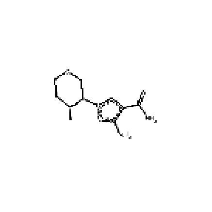 C[C@H]1CCOCC1n1cc(C(N)=O)c(N)n1